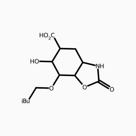 CCC(C)COC1C(O)C(C(=O)O)CC2NC(=O)OC21